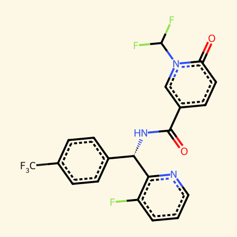 O=C(N[C@@H](c1ccc(C(F)(F)F)cc1)c1ncccc1F)c1ccc(=O)n(C(F)F)c1